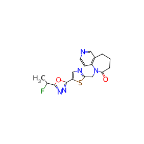 CC(F)c1nnc(-c2cnc(CN3C(=O)CCCc4cnccc43)s2)o1